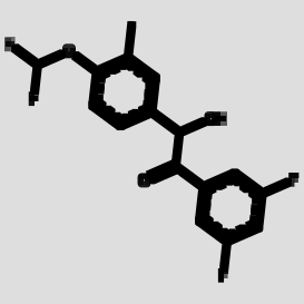 Cc1cc(C(O)C(=O)c2cc(F)cc(F)c2)ccc1OC(F)F